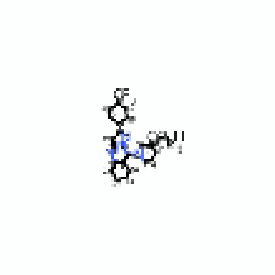 C[C@@]1(C(=O)O)CCCN(c2c3c(nc4cc([C@H]5CC[C@H](C(F)(F)F)CC5)nn24)CCCC3)C1